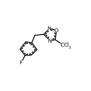 Fc1ccc(Cc2noc(C(Cl)(Cl)Cl)n2)cc1